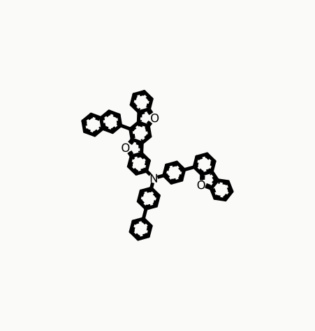 c1ccc(-c2ccc(N(c3ccc(-c4cccc5c4oc4ccccc45)cc3)c3ccc4oc5c(-c6ccc7ccccc7c6)c6c(cc5c4c3)oc3ccccc36)cc2)cc1